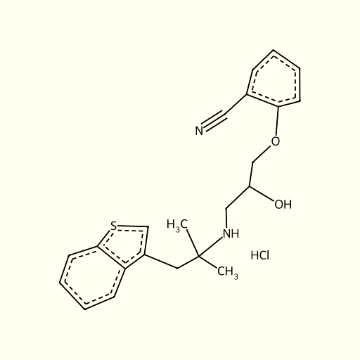 CC(C)(Cc1csc2ccccc12)NCC(O)COc1ccccc1C#N.Cl